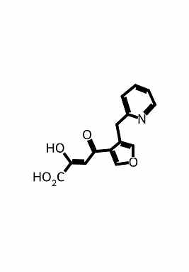 O=C(O)C(O)=CC(=O)c1cocc1Cc1ccccn1